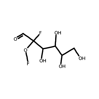 O=CC(F)(OF)C(O)C(O)C(O)CO